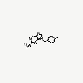 Cc1ccc(Cn2cnc3cnc(N)nc32)cc1